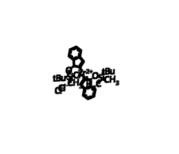 CC(C)(C)[Si](C)(C)O[C@@H]1[C]([Zr+2][C]2=Cc3ccccc3[C@H]2O[Si](C)(C)C(C)(C)C)=Cc2ccccc21.[Cl-].[Cl-]